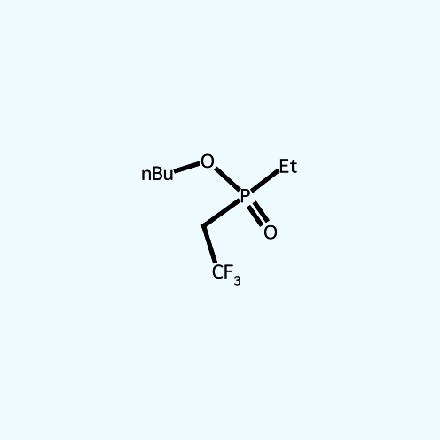 CCCCOP(=O)(CC)CC(F)(F)F